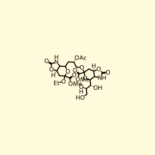 CCOC1(C(=O)OC)C[C@H]2OC(=O)NC2C(C[C@@H](COC2(C(=O)OC)C[C@H]3OC(=O)NC3C([C@H](O)[C@H](O)CO)O2)OC(C)=O)O1